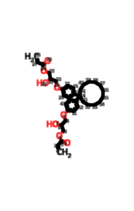 C=CC(=O)OCC(O)COc1ccc(C2(c3ccc(OCC(O)COC(=O)C=C)cc3)CCCCCCCCCCC2)cc1